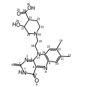 C=c1nc2c(c(=O)[nH]1)=Nc1cc(C)c(C)cc1N2CCN1CCC(C(=O)O)C(O)C1